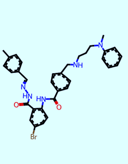 Cc1ccc(/C=N/NC(=O)c2cc(Br)ccc2NC(=O)c2ccc(CNCCCN(C)c3ccccc3)cc2)cc1